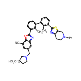 CCCN1CCc2nc(-c3cccc(-c4cccc(-c5nc6cc(CN7CC[C@H](C(=O)O)C7)cc(C#N)c6o5)c4C)c3C)sc2C1